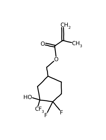 C=C(C)C(=O)OCC1CCC(F)(F)C(O)(C(F)(F)F)C1